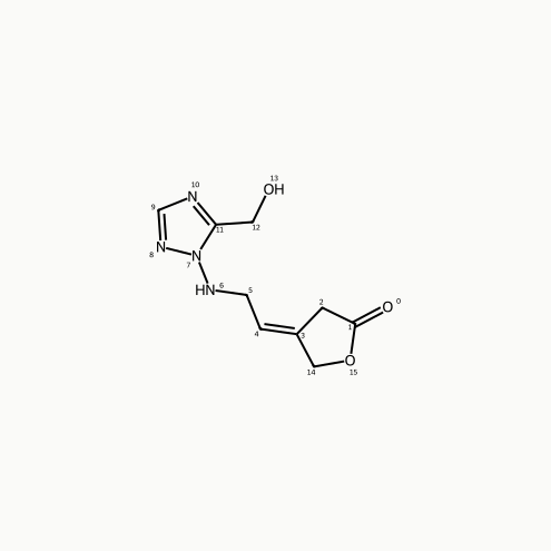 O=C1CC(=CCNn2ncnc2CO)CO1